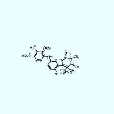 COc1c(Nc2ccc(F)c([C@@]3(C)N=C(N)N(C)C(=O)C3(C)C)c2)ccc(C(=O)O)c1C